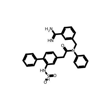 N=C(N)c1cccc(CN(C(=O)Cc2ccc(-c3ccccc3)c(N[SH](=O)=O)c2)c2ccccc2)c1